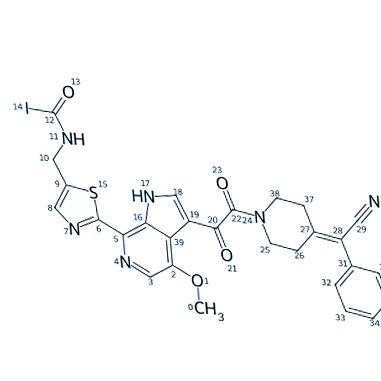 COc1cnc(-c2ncc(CNC(=O)I)s2)c2[nH]cc(C(=O)C(=O)N3CCC(=C(C#N)c4ccccc4)CC3)c12